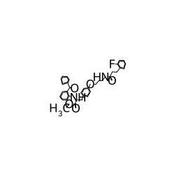 COC(=O)[C@H](Cc1ccc(OCCCNC(=O)CCc2ccccc2F)cc1)Nc1ccccc1C(=O)c1ccccc1